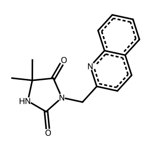 CC1(C)NC(=O)N(Cc2ccc3ccccc3n2)C1=O